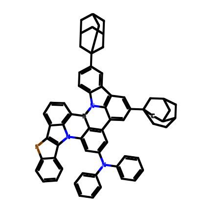 c1ccc(N(c2ccccc2)c2cc3c4c(c2)-n2c5c(cccc5c5sc6ccccc6c52)B4n2c4ccc(C56CC7CC(CC(C7)C5)C6)cc4c4cc(C56CCC7CC(CC7C5)C6)cc-3c42)cc1